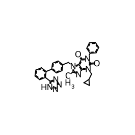 Cc1nc2c(c(=O)n(-c3ccccc3)c(=O)n2CC2CC2)n1Cc1ccc(-c2ccccc2-c2nnn[nH]2)cc1